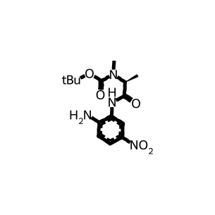 C[C@@H](C(=O)Nc1cc([N+](=O)[O-])ccc1N)N(C)C(=O)OC(C)(C)C